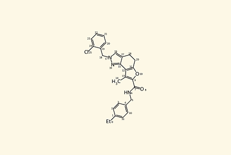 CCc1ccc(CNC(=O)c2oc3c(c2C)-c2nn(Cc4ccccc4Cl)cc2CC3)cc1